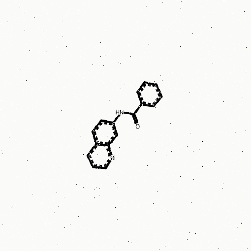 O=C(Nc1ccc2cccnc2c1)c1ccccc1